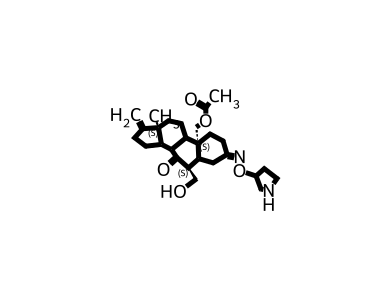 C=C1CCC2C3C(=O)[C@H](CO)C4CC(=NOC5CCNC5)CC[C@]4(COC(C)=O)C3CC[C@]12C